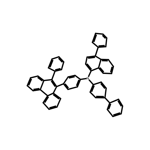 c1ccc(-c2ccc(N(c3ccc(-c4c(-c5ccccc5)c5ccccc5c5ccccc45)cc3)c3ccc(-c4ccccc4)c4ccccc34)cc2)cc1